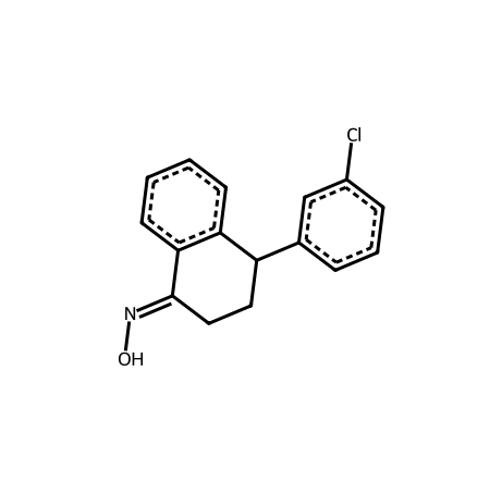 O/N=C1\CCC(c2cccc(Cl)c2)c2ccccc21